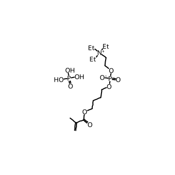 C=C(C)C(=O)OCCCCOP(=O)([O-])OCC[N+](CC)(CC)CC.O=P(O)(O)O